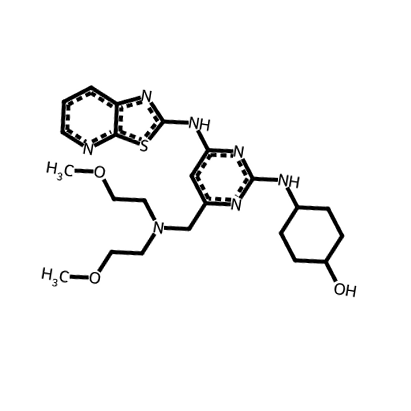 COCCN(CCOC)Cc1cc(Nc2nc3cccnc3s2)nc(NC2CCC(O)CC2)n1